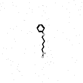 ClPCCCCCOc1ccccc1